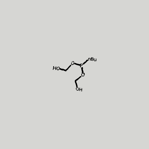 CCCCP(OCO)OCO